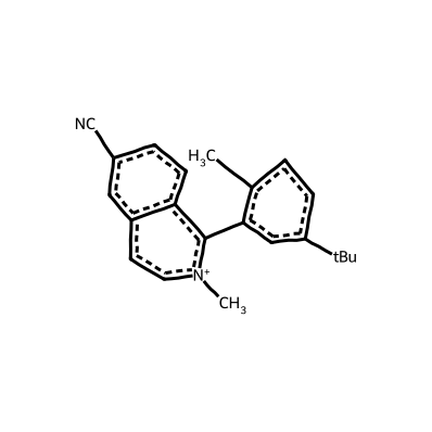 Cc1ccc(C(C)(C)C)cc1-c1c2ccc(C#N)cc2cc[n+]1C